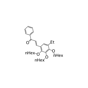 CCCCCCOc1c(C=CC(=O)c2ccccc2)cc(CC)c(OCCCCCC)c1OCCCCCC